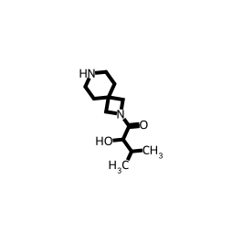 CC(C)C(O)C(=O)N1CC2(CCNCC2)C1